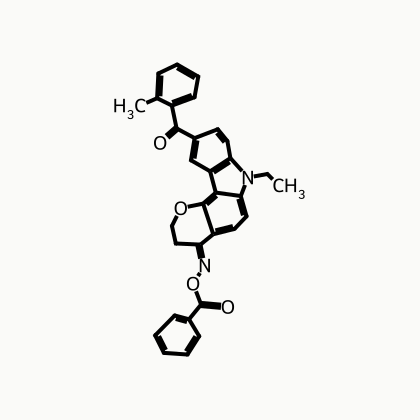 CCn1c2ccc(C(=O)c3ccccc3C)cc2c2c3c(ccc21)/C(=N/OC(=O)c1ccccc1)CCO3